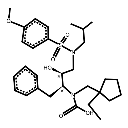 CCC1(CN(C(=O)O)[C@@H](Cc2ccccc2)[C@@H](O)CN(CC(C)C)S(=O)(=O)c2ccc(OC)cc2)CCCC1